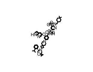 CC(C)c1ccccc1[C@@H]1COC2(CC2)CN1C1CC2(CCN(c3ccc(C(=O)NS(=O)(=O)c4cnc(NCC5CCC(C)(C)CC5)c([N+](=O)[O-])c4)c(Oc4cnc5[nH]ccc5c4)c3)CC2)C1